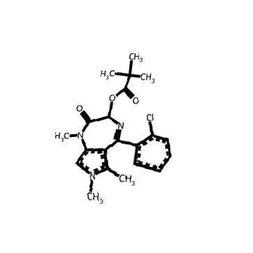 Cc1c2c(cn1C)N(C)C(=O)C(OC(=O)C(C)(C)C)N=C2c1ccccc1Cl